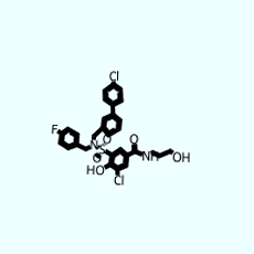 O=C(NCCCO)c1cc(Cl)c(O)c(S(=O)(=O)N(Cc2ccc(F)cc2)Cc2cccc(-c3ccc(Cl)cc3)c2)c1